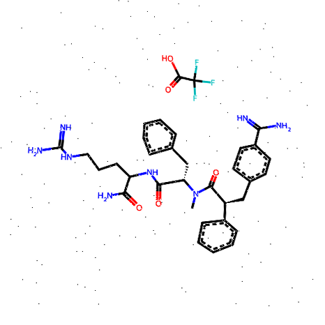 CN(C(=O)[C@@H](Cc1ccc(C(=N)N)cc1)c1ccccc1)[C@@H](Cc1ccccc1)C(=O)NC(CCCNC(=N)N)C(N)=O.O=C(O)C(F)(F)F